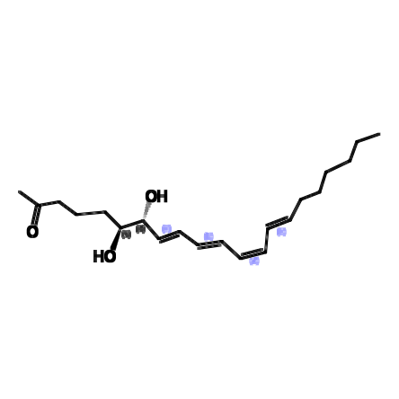 CCCCCC/C=C/C=C\C=C\C=C\[C@@H](O)[C@@H](O)CCCC(C)=O